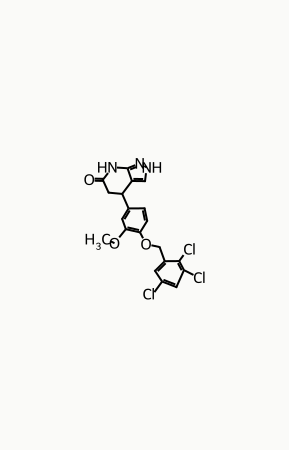 COc1cc(C2CC(=O)Nc3n[nH]cc32)ccc1OCc1cc(Cl)cc(Cl)c1Cl